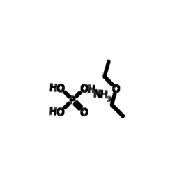 CCOCC.N.O=P(O)(O)O